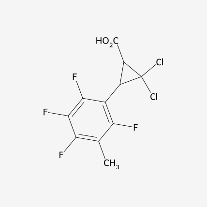 Cc1c(F)c(F)c(F)c(C2C(C(=O)O)C2(Cl)Cl)c1F